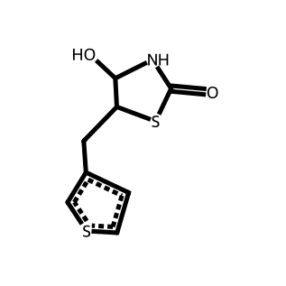 O=C1NC(O)C(Cc2ccsc2)S1